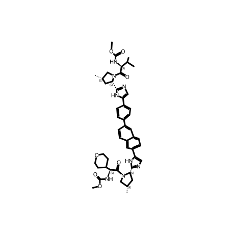 COC(=O)N[C@H](C(=O)N1C[C@@H](C)C[C@H]1c1ncc(-c2ccc(-c3ccc4cc(-c5cnc([C@@H]6C[C@H](C)CN6C(=O)[C@@H](NC(=O)OC)C6CCOCC6)[nH]5)ccc4c3)cc2)[nH]1)C(C)C